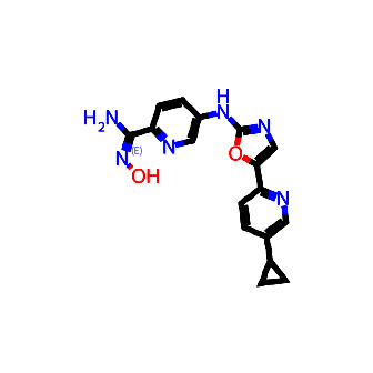 N/C(=N/O)c1ccc(Nc2ncc(-c3ccc(C4CC4)cn3)o2)cn1